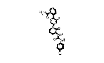 NC(=O)c1ccccc1-c1ccc(N2CCCC(NC(=O)Nc3ccc(Cl)cc3)C2=O)cc1F